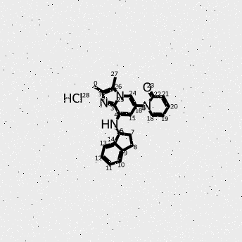 Cc1nc2c(N[C@H]3CCc4ccccc43)cc(-n3ccccc3=O)cn2c1C.Cl